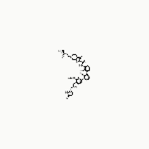 COc1nc(-c2ccnc(-c3cccc(NC(=O)c4nc5c(n4C)CCN(CCC(N)=O)C5)c3Cl)c2Cl)ccc1CNC[C@@H]1CCC(=O)N1